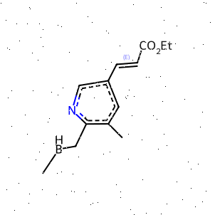 CBCc1ncc(/C=C/C(=O)OCC)cc1C